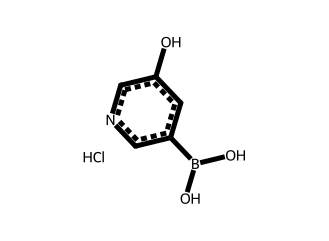 Cl.OB(O)c1cncc(O)c1